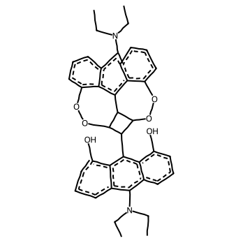 CCN(CC)c1c2cccc(O)c2c(C2C3OOc4cccc5c(N(CC)CC)c6cccc7c6c(c45)C3C2OO7)c2c(O)cccc12